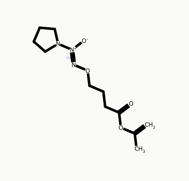 C=C(C)OC(=O)CCCO/N=[N+](\[O-])N1CCCC1